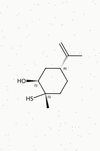 C=C(C)[C@@H]1CC[C@](C)(S)[C@@H](O)C1